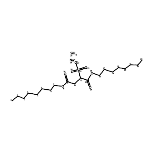 CCCCCCCCOC(=O)CC(C(=O)OCCCCCCCC)S(=O)(=O)[O-].[Na+].[SiH4]